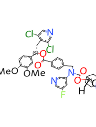 COc1ccc([C@H](Cc2c(Cl)cncc2Cl)OC(=O)c2ccc(CN(C(=O)O[C@H]3CN4CCC3CC4)c3cncc(F)c3)cc2)cc1OC